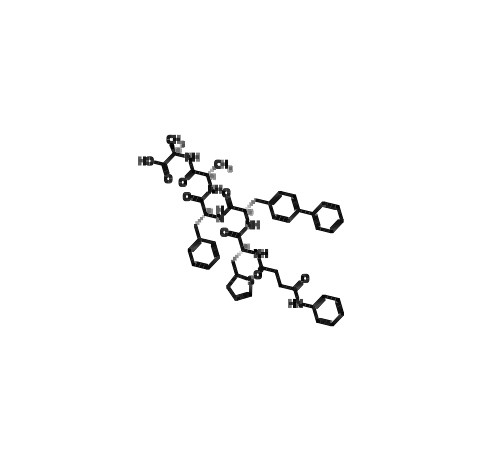 C[C@H](NC(=O)[C@@H](Cc1ccccc1)NC(=O)[C@H](Cc1ccc(-c2ccccc2)cc1)NC(=O)[C@@H](CC1CC=CS1)NC(=O)CCC(=O)Nc1ccccc1)C(=O)N[C@H](C)C(=O)O